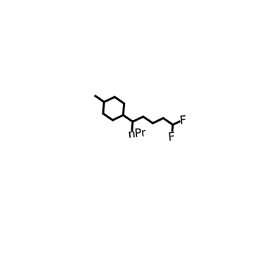 CCCC(CCCC(F)F)C1CCC(C)CC1